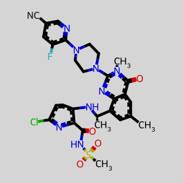 Cc1cc([C@@H](C)Nc2ccc(Cl)nc2C(=O)NS(C)(=O)=O)c2nc(N3CCN(c4ncc(C#N)cc4F)CC3)n(C)c(=O)c2c1